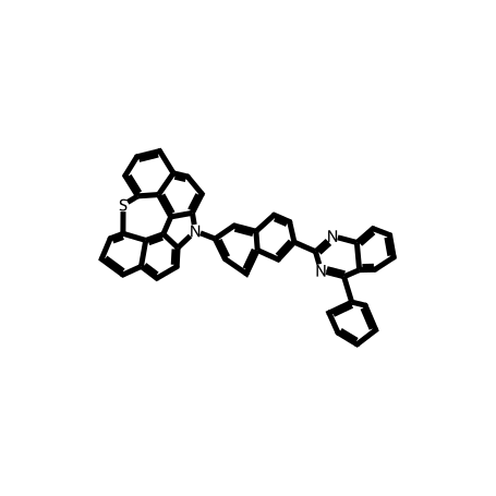 c1ccc(-c2nc(-c3ccc4cc(-n5c6ccc7cccc8sc9cccc%10ccc5c(c%109)c6c78)ccc4c3)nc3ccccc23)cc1